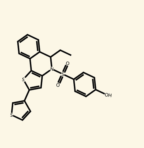 CCC1c2ccccc2-c2sc(-c3ccsc3)cc2N1S(=O)(=O)c1ccc(O)cc1